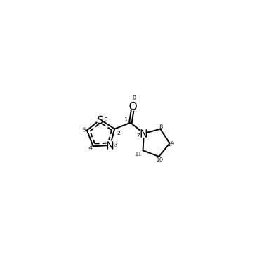 O=C(c1nccs1)N1C[CH]CC1